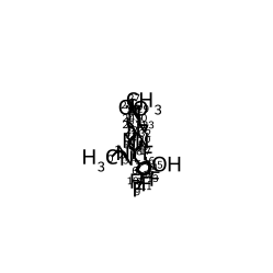 CCn1nc(-c2cc(C(F)(F)F)c(F)c(O)c2F)c2cnc(N3CCN(S(C)(=O)=O)CC34CC4)nc21